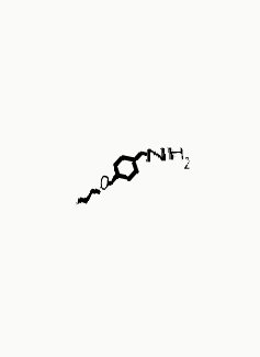 CCCCOCC1CCC(CN)CC1